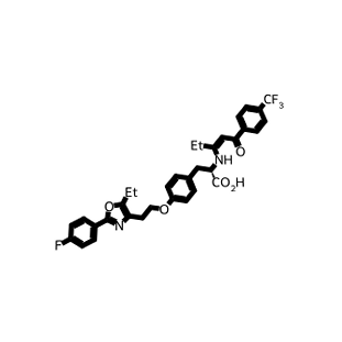 CCC(=CC(=O)c1ccc(C(F)(F)F)cc1)N[C@@H](Cc1ccc(OCCc2nc(-c3ccc(F)cc3)oc2CC)cc1)C(=O)O